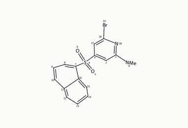 CNc1cc(S(=O)(=O)c2cccc3ccccc23)cc(Br)n1